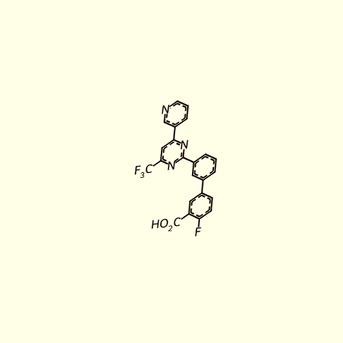 O=C(O)c1cc(-c2cccc(-c3nc(-c4cccnc4)cc(C(F)(F)F)n3)c2)ccc1F